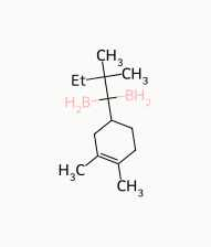 BC(B)(C1CCC(C)=C(C)C1)C(C)(C)CC